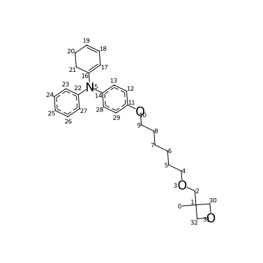 CC1(COCCCCCCOc2ccc(N(C3=CC=CCC3)c3ccccc3)cc2)COC1